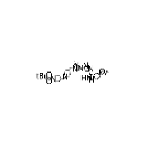 C[C@H]1CN(c2cc(-c3[nH]nc4ccc(OC5(C)CC5)cc34)ncn2)CCN1CC1CCN(CC2CCN(C(=O)OC(C)(C)C)CC2)CC1